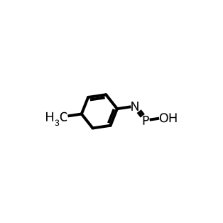 CC1C=CC(N=PO)=CC1